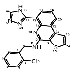 Clc1ccccc1CNc1nc2c(-c3nnc[nH]3)cccc2c2ccsc12